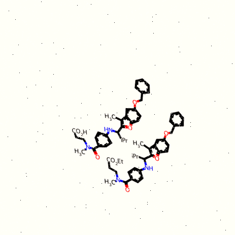 CCOC(=O)CCN(C)C(=O)c1ccc(NC(c2oc3ccc(OCc4ccccc4)cc3c2C)C(C)C)cc1.Cc1c(C(Nc2ccc(C(=O)N(C)CCC(=O)O)cc2)C(C)C)oc2ccc(OCc3ccccc3)cc12